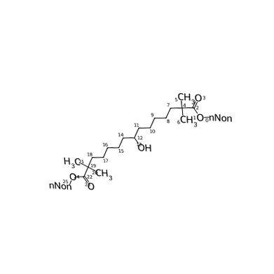 CCCCCCCCCOC(=O)C(C)(C)CCCCCC(O)CCCCCC(C)(C)C(=O)OCCCCCCCCC